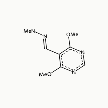 CN/N=C/c1c(OC)ncnc1OC